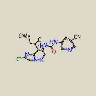 COCC(C)c1c(NC(=O)Nc2cncc(C#N)c2)cnn2cc(Cl)nc12